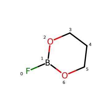 FB1OCCCO1